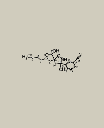 CCCCOCC1(C(=O)O)CC(C)(c2cccc(C#N)c2)NO1